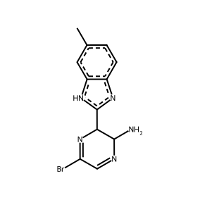 Cc1ccc2nc(C3N=C(Br)C=NC3N)[nH]c2c1